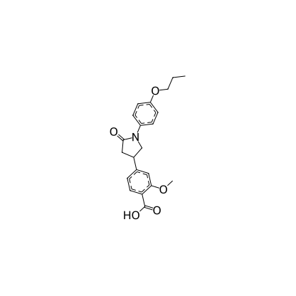 CCCOc1ccc(N2CC(c3ccc(C(=O)O)c(OC)c3)CC2=O)cc1